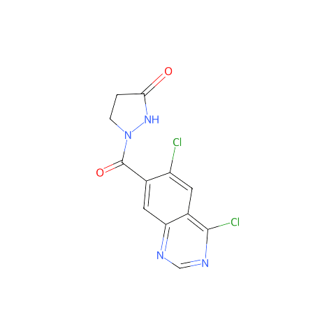 O=C1CCN(C(=O)c2cc3ncnc(Cl)c3cc2Cl)N1